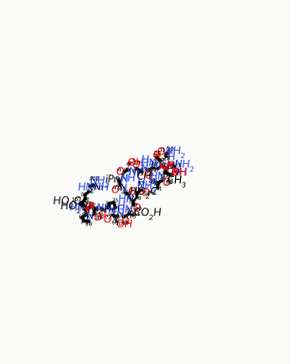 CC(C)[C@H](NC(=O)[C@H](CO)NC(=O)[C@H](C)NC(=O)[C@H](CCCNC(=N)N)NC(=O)[C@H](CC(N)=O)NC(=O)[C@@H](NC(=O)[C@@H](N)CC(=O)O)[C@@H](C)O)C(=O)NCC(=O)N[C@@H](CCC(N)=O)C(=O)N[C@@H](CC(=O)O)C(=O)N[C@@H](CO)C(=O)N1CCC[C@H]1C(=O)N[C@@H](CCC(=O)O)C(=O)N1CCC[C@H]1C(=O)N[C@@H](CCCNC(=N)N)C(=O)O